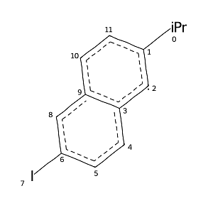 CC(C)c1[c]c2ccc(I)cc2cc1